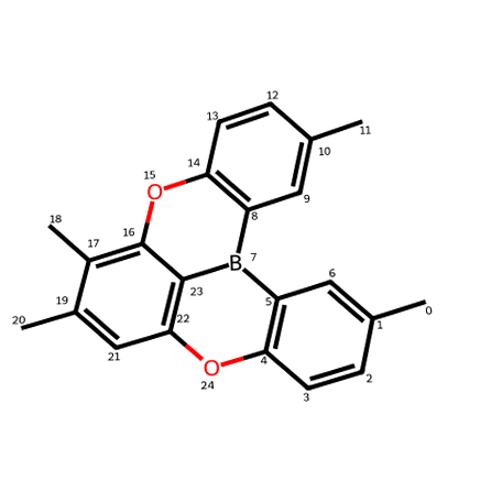 Cc1ccc2c(c1)B1c3cc(C)ccc3Oc3c(C)c(C)cc(c31)O2